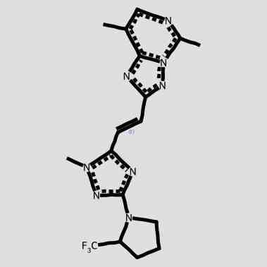 Cc1cnc(C)n2nc(/C=C/c3nc(N4CCCC4C(F)(F)F)nn3C)nc12